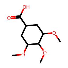 COC1CC(C(=O)O)CC(OC)C1OC